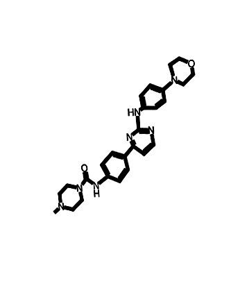 CN1CCN(C(=O)Nc2ccc(-c3ccnc(Nc4ccc(N5CCOCC5)cc4)n3)cc2)CC1